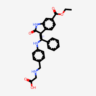 CCOC(=O)c1ccc2c(c1)NC(=O)/C2=C(\Nc1ccc(CNCC(=O)O)cc1)c1ccccc1